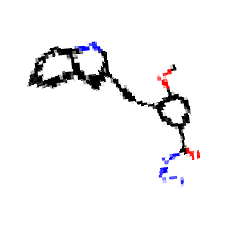 COc1ccc(C(=O)NN)cc1C#Cc1cnc2ccccc2c1